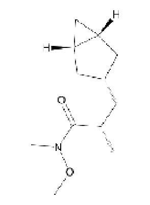 CON(C)C(=O)[C@@H](C)C[C@@H]1C[C@@H]2C[C@@H]2C1